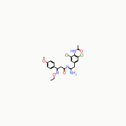 CCON=C(CC(=O)N=C(N)Cc1cc(Cl)c(NC(C)=O)c(Cl)c1)c1ccc(OC)cc1